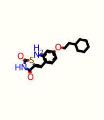 Nc1cc(OCCC2CCCCC2)ccc1/C=C1\SC(=O)NC1=O